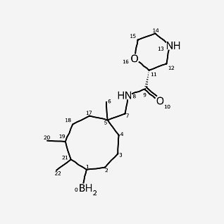 BC1CCCC(C)(CNC(=O)[C@H]2CNCCO2)CCC(C)C1C